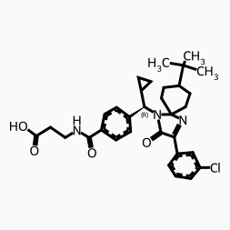 CC(C)(C)C1CCC2(CC1)N=C(c1cccc(Cl)c1)C(=O)N2[C@@H](c1ccc(C(=O)NCCC(=O)O)cc1)C1CC1